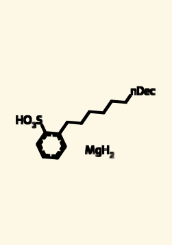 CCCCCCCCCCCCCCCCc1ccccc1S(=O)(=O)O.[MgH2]